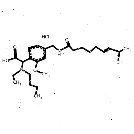 CCCCN(CC)C(C(=O)O)c1ccc(CNC(=O)CCCC/C=C/C(C)C)cc1OC.Cl